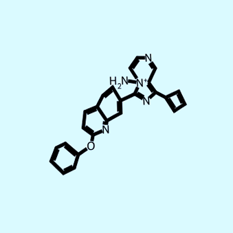 N[N+]12C=CN=CC1=C(C1=CC=C1)N=C2c1ccc2ccc(Oc3ccccc3)nc2c1